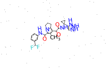 Cc1c(C(=O)C(=O)NC2(C3=CNNN3)CC2)c2n(c1C(=O)Nc1cccc(C(F)F)c1)CCC2